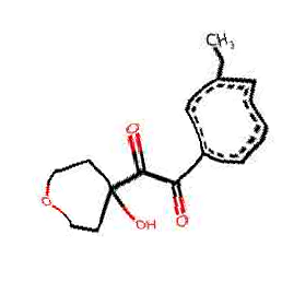 Cc1cccc(C(=O)C(=O)C2(O)CCOCC2)c1